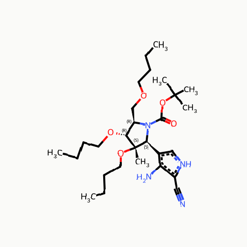 CCCCOC[C@@H]1[C@@H](OCCCC)[C@@](C)(OCCCC)[C@H](c2c[nH]c(C#N)c2N)N1C(=O)OC(C)(C)C